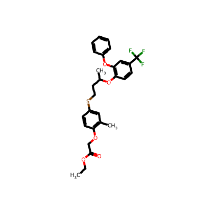 CCOC(=O)COc1ccc(SCCC(C)Oc2ccc(C(F)(F)F)cc2Oc2ccccc2)cc1C